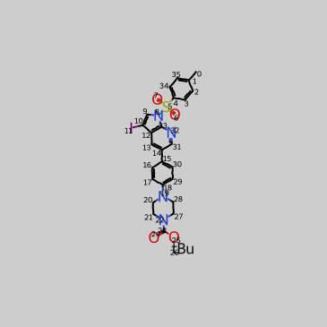 Cc1ccc(S(=O)(=O)n2cc(I)c3cc(-c4ccc(N5CCN(C(=O)OC(C)(C)C)CC5)cc4)cnc32)cc1